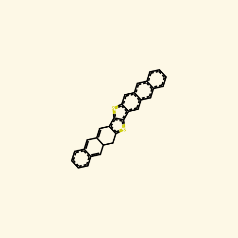 C1=C2C=c3ccccc3=CC2Cc2sc3c(sc4cc5cc6ccccc6cc5cc43)c21